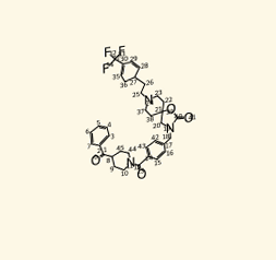 O=C(c1ccccc1)C1CCN(C(=O)c2ccc(CN3CC4(CCN(CCC5C=CC(C(F)(F)F)=CC5)CC4)OC3=O)cc2)CC1